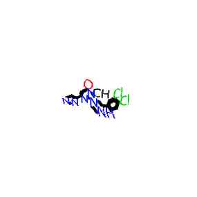 Cn1c(N2CCNC(c3ccc(Cl)c(Cl)c3)C2)nc(-c2ccncn2)cc1=O